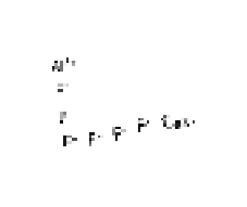 [Al+3].[Ce+3].[F-].[F-].[F-].[F-].[F-].[F-]